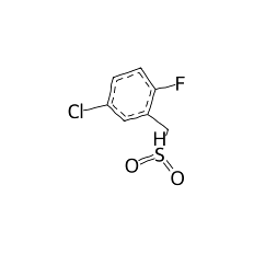 O=[SH](=O)Cc1cc(Cl)ccc1F